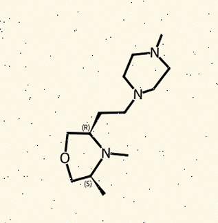 C[C@H]1COC[C@@H](CCN2CCN(C)CC2)N1C